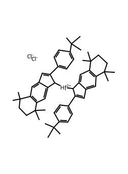 CC(C)(C)c1ccc(C2=Cc3cc4c(cc3[CH]2[Hf+2][CH]2C(c3ccc(C(C)(C)C)cc3)=Cc3cc5c(cc32)C(C)(C)CCC5(C)C)C(C)(C)CCC4(C)C)cc1.[Cl-].[Cl-]